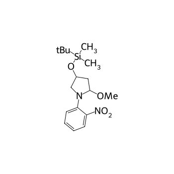 COC1CC(O[Si](C)(C)C(C)(C)C)CN1c1ccccc1[N+](=O)[O-]